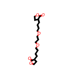 O=C1OCCC1CCCCOCCCOCCCCC1CCOC1=O